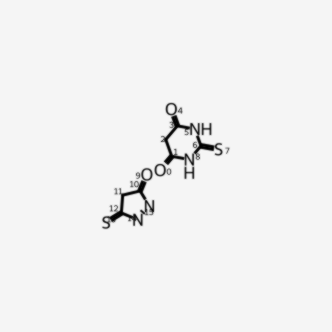 O=C1CC(=O)NC(=S)N1.O=C1CC(=S)N=N1